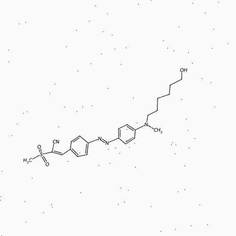 CN(CCCCCCO)c1ccc(/N=N/c2ccc(/C=C(\C#N)S(C)(=O)=O)cc2)cc1